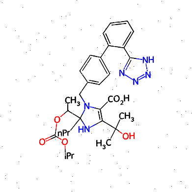 CCCC1(C(C)OC(=O)OC(C)C)NC(C(C)(C)O)=C(C(=O)O)N1Cc1ccc(-c2ccccc2-c2nnn[nH]2)cc1